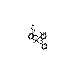 CC(=O)N(Cc1ccccc1OCF)c1c(Oc2ccccc2)ccnc1C